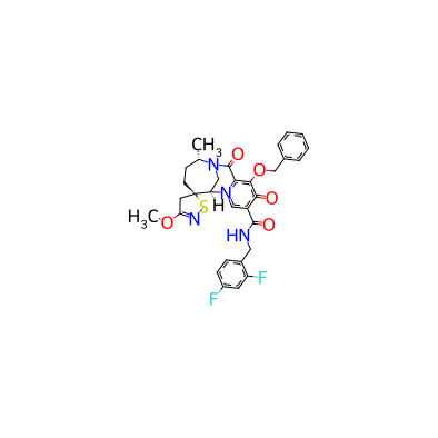 COC1=NS[C@]2(CC[C@H](C)N3C[C@H]2n2cc(C(=O)NCc4ccc(F)cc4F)c(=O)c(OCc4ccccc4)c2C3=O)C1